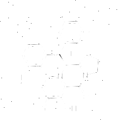 O=C1c2c(O)c(=O)cnn2[C@@H](C(c2cccc(F)c2)c2cccc(F)c2)[C@H]2CCCN12